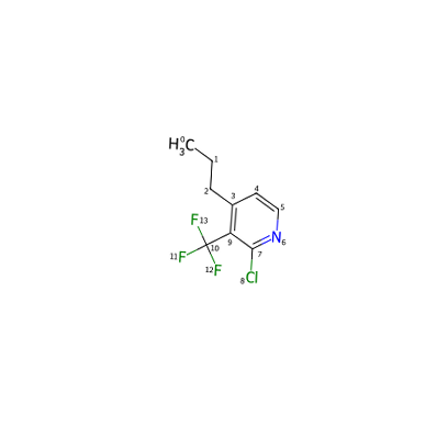 CCCc1ccnc(Cl)c1C(F)(F)F